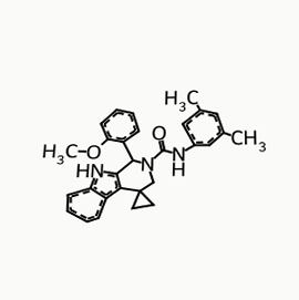 COc1ccccc1C1c2[nH]c3ccccc3c2C2(CC2)CN1C(=O)Nc1cc(C)cc(C)c1